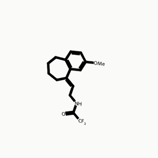 COc1ccc2c(c1)/C(=C/CNC(=O)C(F)(F)F)CCCC2